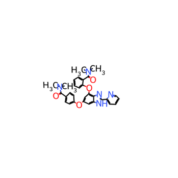 CN(C)C(=O)c1ccc(Oc2cc(Oc3ccccc3C(=O)N(C)C)c3nc(-c4ccccn4)[nH]c3c2)cc1